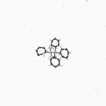 C[Si](C)(c1ccccc1)[Si](c1ccccc1)(c1ccccc1)c1ccccc1